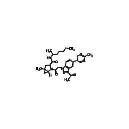 CCCCCC(C)NC(=O)[C@@H]1C[C@@]2(C)C[C@H]2N1C(=O)Cn1nc(C(C)=O)c2cc(-c3cnc(C)nc3)ccc21